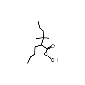 CCCCC(C(=O)OO)C(C)(C)CCC